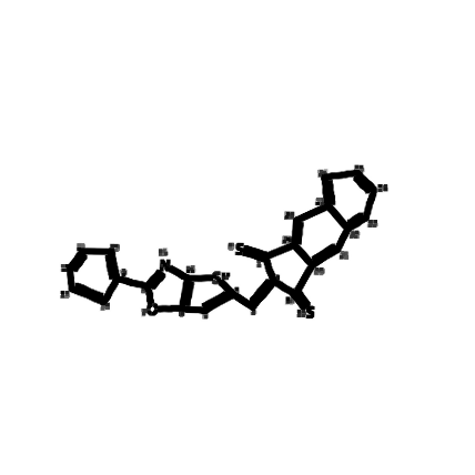 S=C1C(=Cc2cc3oc(-c4ccccc4)nc3s2)C(=S)c2cc3ccccc3cc21